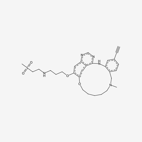 C#Cc1ccc2c(c1)Nc1ncnc3cc(OCCCNCCS(C)(=O)=O)c(cc13)OCCCCCN(C)C2